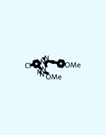 COCc1nnc2n1Cc1c(C#Cc3ccc(OC)cc3)ncn1-c1ccc(Cl)cc1-2